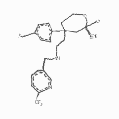 CCC1(CC)CC(CCNCc2ccc(C(F)(F)F)nc2)(c2ccc(F)cc2)CCO1